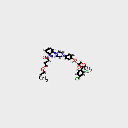 C=CCOCCCC(=O)Nc1ccccc1N1CCN(c2ccc(OC[C@@H]3CO[C@](C)(c4ccc(Cl)cc4Cl)O3)cc2)CC1